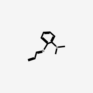 C=C/C=N/c1ccccc1N(C)C